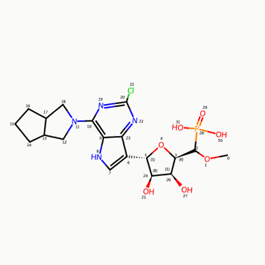 COC([C@@H]1O[C@@H](c2c[nH]c3c(N4CC5CCCC5C4)nc(Cl)nc23)[C@H](O)[C@@H]1O)P(=O)(O)O